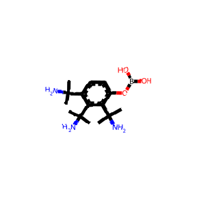 CC(C)(N)c1ccc(OB(O)O)c(C(C)(C)N)c1C(C)(C)N